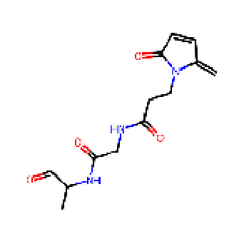 C=C1C=CC(=O)N1CCC(=O)NCC(=O)NC(C)C=O